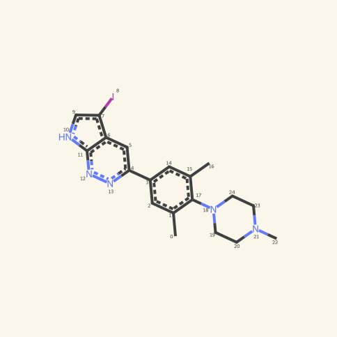 Cc1cc(-c2cc3c(I)c[nH]c3nn2)cc(C)c1N1CCN(C)CC1